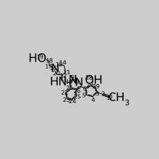 CC#Cc1ccc(-c2nnc(NC3CCCN(CCO)C3)c3ccccc23)c(O)c1